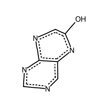 Oc1cnc2ncncc2n1